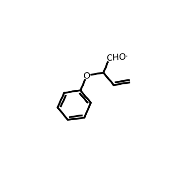 C=CC([C]=O)Oc1ccccc1